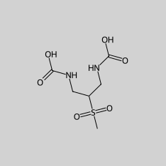 CS(=O)(=O)C(CNC(=O)O)CNC(=O)O